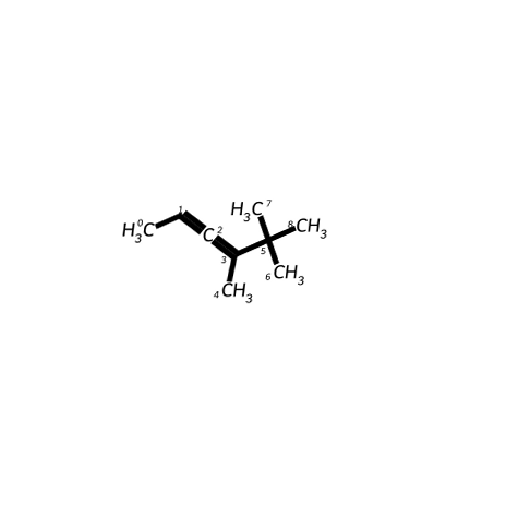 CC=C=C(C)C(C)(C)C